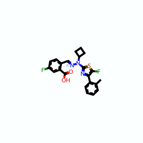 Cc1ccccc1-c1nc(N(/N=C/c2ccc(F)cc2C(=O)O)C2CCC2)sc1F